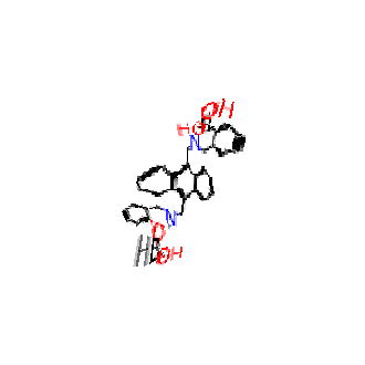 CN(Cc1ccccc1OBO)Cc1c2ccccc2c(CN(C)Cc2ccccc2B(O)O)c2ccccc12